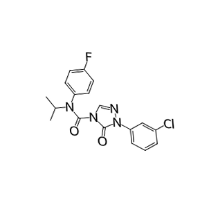 CC(C)N(C(=O)n1cnn(-c2cccc(Cl)c2)c1=O)c1ccc(F)cc1